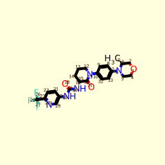 C[C@@H]1COCCN1c1ccc(N2CCC[C@@H](NC(=O)Nc3ccc(C(F)(F)F)nc3)C2=O)cc1